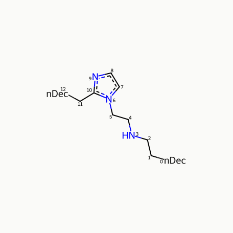 CCCCCCCCCCCCNCCn1ccnc1CCCCCCCCCCC